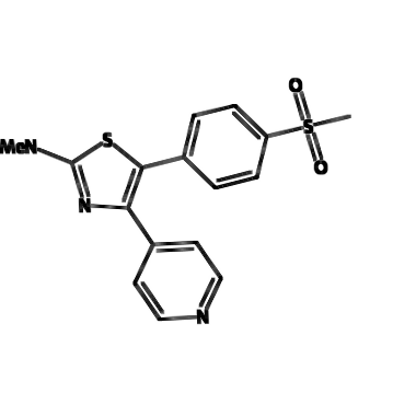 CNc1nc(-c2ccncc2)c(-c2ccc(S(C)(=O)=O)cc2)s1